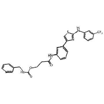 O=C(CCOC(=O)NCc1ccccc1)Nc1cccc(-c2csc(Nc3cccc(C(F)(F)F)c3)n2)c1